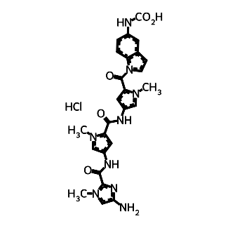 Cl.Cn1cc(NC(=O)c2nc(N)cn2C)cc1C(=O)Nc1cc(C(=O)n2ccc3cc(NC(=O)O)ccc32)n(C)c1